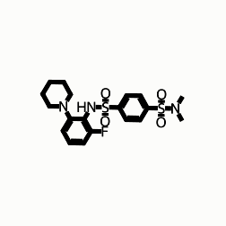 CN(C)S(=O)(=O)c1ccc(S(=O)(=O)Nc2c(F)cccc2N2CCCCC2)cc1